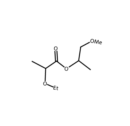 CCOC(C)C(=O)OC(C)COC